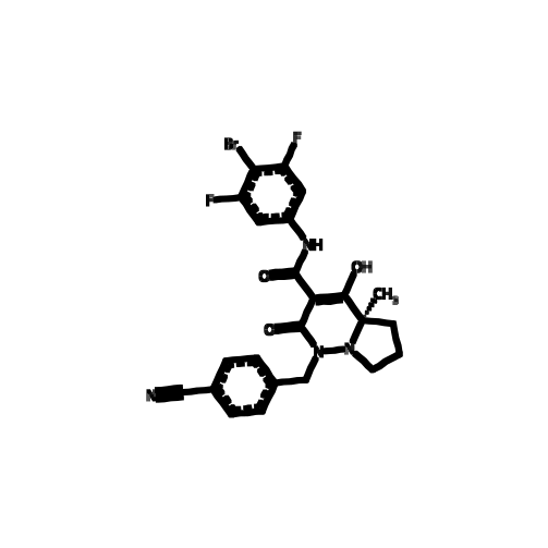 C[C@]12CCCN1N(Cc1ccc(C#N)cc1)C(=O)C(C(=O)Nc1cc(F)c(Br)c(F)c1)=C2O